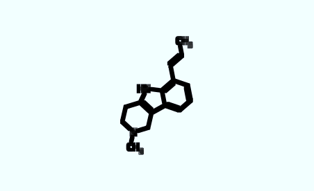 CC=Cc1cccc2c3c([nH]c12)CCN(C)C3